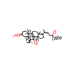 C/C=C1/C(=O)[C@@H]2[C@H](CC[C@]3(C)[C@@H](/C(C)=C\CC(=O)OC)CC[C@@H]23)[C@@]2(C)CC[C@@H](O)C[C@@H]12